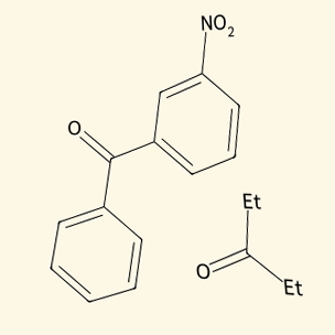 CCC(=O)CC.O=C(c1ccccc1)c1cccc([N+](=O)[O-])c1